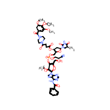 COc1cc(C(=O)N2CCN(C(=O)CCC(=O)O[C@@H]3C[C@H](n4cc(C)c(=O)[nH]c4=O)OC3COP(=O)(OCCC#N)OC3C(CO)OC(n4cnc5c(NC(=O)c6ccccc6)ncnc54)C3OC)CC2)cc(OC)c1OC